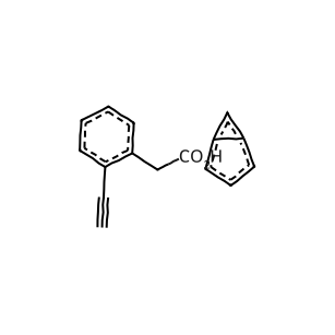 C#Cc1ccccc1CC(=O)O.c1cc2cc-2c1